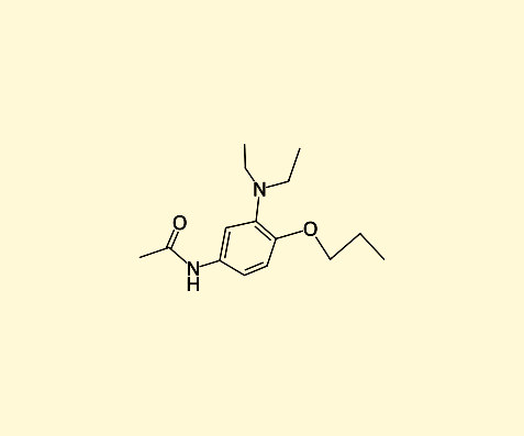 CCCOc1ccc(NC(C)=O)cc1N(CC)CC